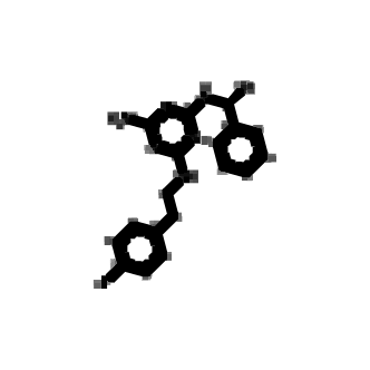 CC[C@H](Nc1nc(N)nc(NCCc2ccc(F)cc2)n1)c1ccccc1